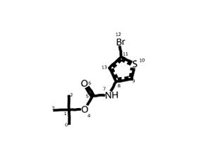 CC(C)(C)OC(=O)Nc1csc(Br)c1